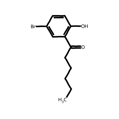 CCCCCC(=O)c1cc(Br)ccc1O